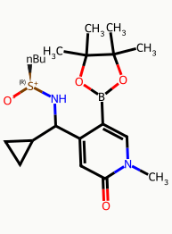 CCCC[S@+]([O-])NC(c1cc(=O)n(C)cc1B1OC(C)(C)C(C)(C)O1)C1CC1